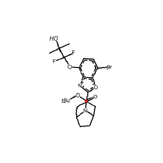 CC(C)(C)OC(=O)N1C2CCC1CN(c1nc3c(OC(F)(F)C(C)(C)O)ccc(Br)c3o1)C2